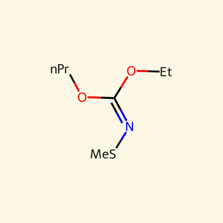 CCCO/C(=N\SC)OCC